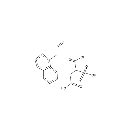 C=CCc1cccc2ccccc12.O=C(O)CC(C(=O)O)S(=O)(=O)O